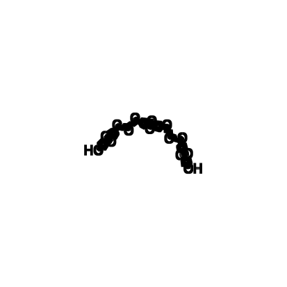 O=C(CCC(=O)c1ccc(S(=O)(=O)c2ccc(O)cc2)cc1)CCC(=O)c1ccc(S(=O)(=O)c2ccc(C(=O)CCC(=O)CCC(=O)c3ccc(S(=O)(=O)c4ccc(O)cc4)cc3)cc2)cc1